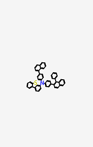 c1ccc(-c2c(-c3ccc(N(c4ccc(-c5cccc6ccccc56)cc4)c4cccc5c4sc4ccccc45)cc3)ccc3ccccc23)cc1